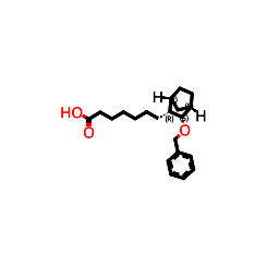 O=C(O)CCCCCC[C@@H]1[C@@H]2CC[C@@H](C2)[C@@H]1OCc1ccccc1